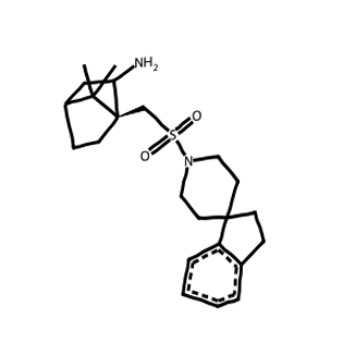 CC1(C)C2CC[C@@]1(CS(=O)(=O)N1CCC3(CCc4ccccc43)CC1)C(N)C2